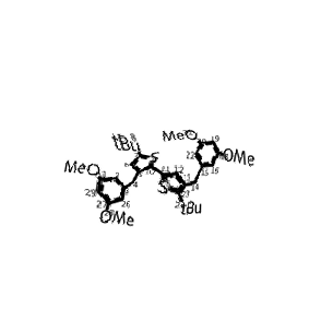 COc1cc(Cc2cc(C(C)(C)C)sc2-c2cc(Cc3cc(OC)cc(OC)c3)c(C(C)(C)C)s2)cc(OC)c1